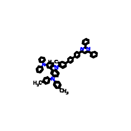 Cc1ccc(N(c2ccc(C)cc2)c2ccc3c(c2)c2cc(N(c4ccccc4)c4ccccc4)ccc2n3-c2ccc(-c3ccc(-c4ccc(-c5cc(-c6ccccc6)nc(-c6ccccc6)n5)cc4)cc3)cc2C)cc1